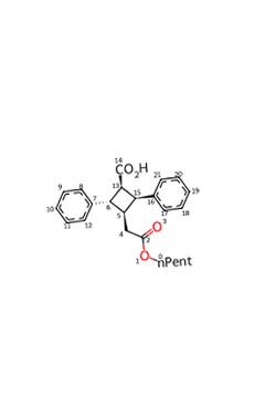 CCCCCOC(=O)C[C@H]1[C@H](c2ccccc2)[C@@H](C(=O)O)[C@H]1c1ccccc1